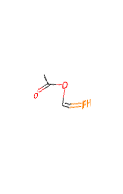 CC(=O)OC=P